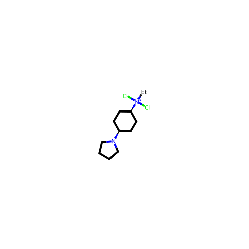 CC[N+](Cl)(Cl)[C@H]1CC[C@@H](N2CCCC2)CC1